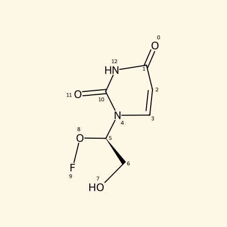 O=c1ccn([C@@H](CO)OF)c(=O)[nH]1